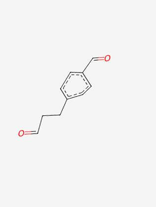 O=CCCc1ccc(C=O)cc1